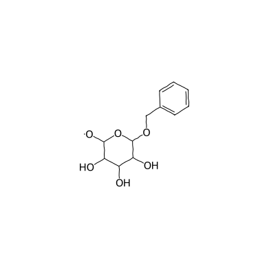 [O]C1OC(OCc2ccccc2)C(O)C(O)C1O